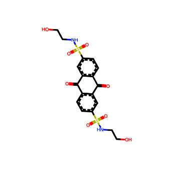 O=C1c2ccc(S(=O)(=O)NCCO)cc2C(=O)c2ccc(S(=O)(=O)NCCO)cc21